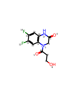 O=C1CN(C(=O)CCO)c2cc(F)c(F)cc2N1